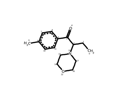 CCC(C(=O)c1ccc(C)cc1)N1CCOCC1